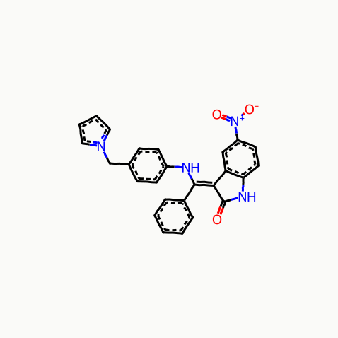 O=C1Nc2ccc([N+](=O)[O-])cc2C1=C(Nc1ccc(Cn2cccc2)cc1)c1ccccc1